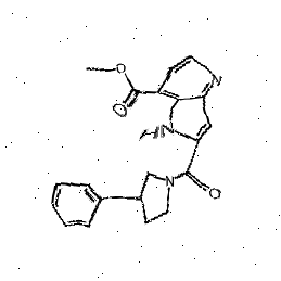 COC(=O)c1ccnc2cc(C(=O)N3CCC(c4ccccc4)C3)[nH]c12